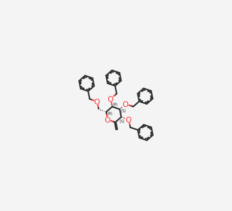 C=C1O[C@H](COCc2ccccc2)[C@@H](OCc2ccccc2)[C@H](OCc2ccccc2)[C@@H]1OCc1ccccc1